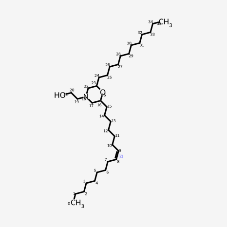 CCCCCCCC/C=C\CCCCCCC1CN(CCO)CC(CCCCCCCCCCCC)O1